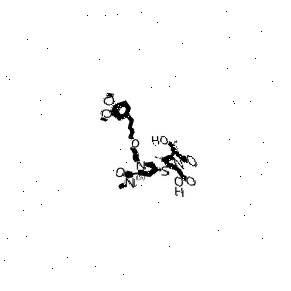 COc1ccc(CCCCOCCCN2C[C@@H](SC3=C(C(=O)O)N4C(=O)[C@H]([C@@H](C)O)C4[C@H]3C)C[C@H]2C(=O)N(C)C)cc1OC